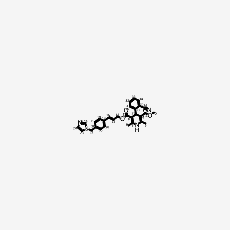 COC(=O)C1=C(C)NC(C)=C(C(=O)OC/C=C/c2ccc(Cn3ccnc3)cc2)C1c1ccccc1C#N